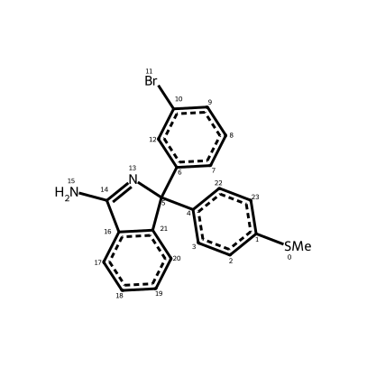 CSc1ccc(C2(c3cccc(Br)c3)N=C(N)c3ccccc32)cc1